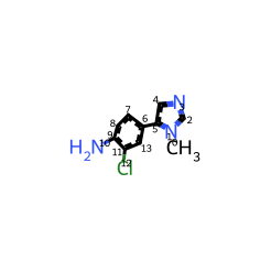 Cn1cncc1-c1ccc(N)c(Cl)c1